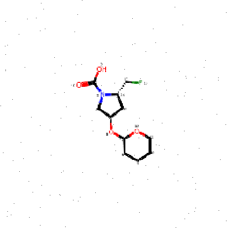 O=C(O)N1C[C@H](OC2CCCCO2)C[C@H]1CF